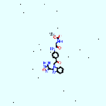 CC(C)(C)OC(=O)NCC(=O)Nc1ccc(C(=O)Cn2c(-c3nonc3N)nc3ccccc32)cc1